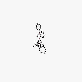 O=C1C2CCCC(CN1CCOCc1ccccc1)N2C(=O)OCc1ccccc1